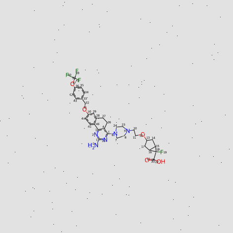 Nc1nc2c(c(N3CCN(CCOC4CC5C(C4)C5(F)C(=O)O)CC3)n1)CCc1cc(OCc3ccc(OC(F)(F)F)cc3)ccc1-2